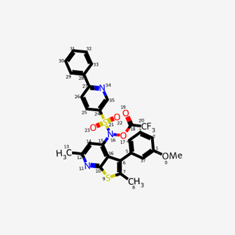 COc1cccc(-c2c(C)sc3nc(C)cc(N(OC(=O)C(F)(F)F)S(=O)(=O)c4ccc(-c5ccccc5)nc4)c23)c1